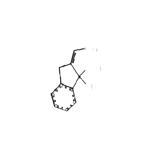 CCCCC=C1Cc2ccccc2C1(C)C(=O)O